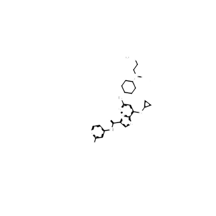 COCCN(C(=O)O)[C@H]1CC[C@H](Nc2cc(NC3CC3)c3ncc(C(=O)Nc4ccnc(F)c4)n3n2)CC1